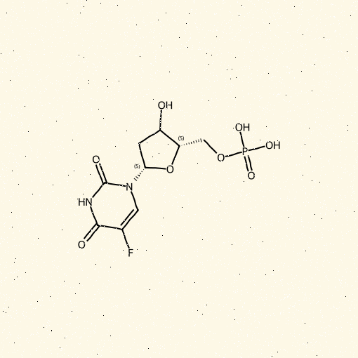 O=c1[nH]c(=O)n([C@@H]2CC(O)[C@H](COP(=O)(O)O)O2)cc1F